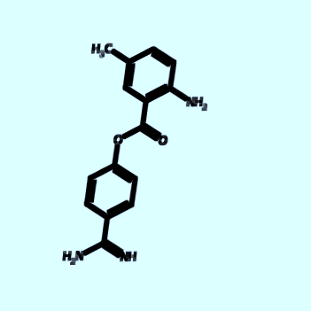 Cc1ccc(N)c(C(=O)Oc2ccc(C(=N)N)cc2)c1